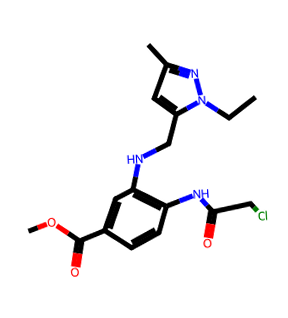 CCn1nc(C)cc1CNc1cc(C(=O)OC)ccc1NC(=O)CCl